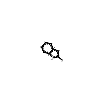 Cc1cc2cc[c]cc2s1